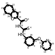 O=C(NC(=S)Nc1cccc(Oc2ncccn2)c1)c1cc2ccccc2o1